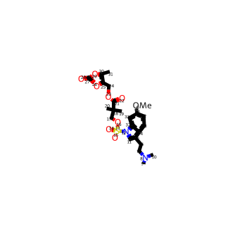 COc1ccc2c(CCN(C)C)cn(S(=O)(=O)OCC(C)(C)C(=O)OCc3oc(=O)oc3C)c2c1